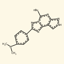 CCCCc1nc2n[nH]cc2c2nc(-c3ccc(N(C)C)cc3)nn12